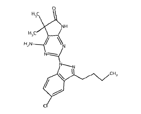 CCCCc1nn(-c2nc(N)c3c(n2)NC(=O)C3(C)C)c2ccc(Cl)cc12